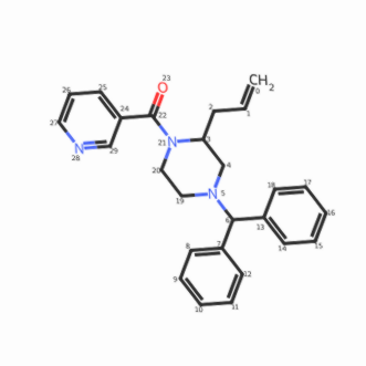 C=CCC1CN(C(c2ccccc2)c2ccccc2)CCN1C(=O)c1cccnc1